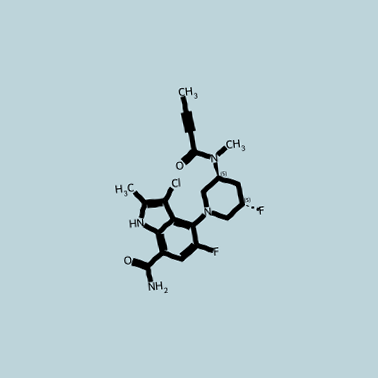 CC#CC(=O)N(C)[C@H]1C[C@H](F)CN(c2c(F)cc(C(N)=O)c3[nH]c(C)c(Cl)c23)C1